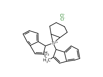 CC1=Cc2ccccc2[CH]1[Ti+2]1([CH]2C(C)=Cc3ccccc32)[CH]2CCCC[CH]21.[Cl-].[Cl-]